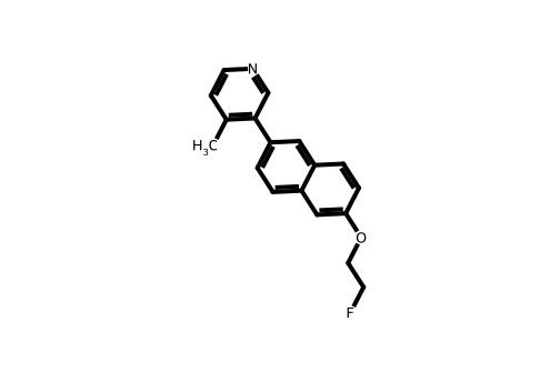 Cc1ccncc1-c1ccc2cc(OCCF)ccc2c1